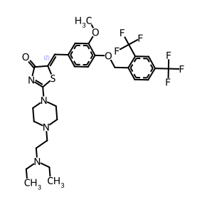 CCN(CC)CCN1CCN(C2=NC(=O)/C(=C/c3ccc(OCc4ccc(C(F)(F)F)cc4C(F)(F)F)c(OC)c3)S2)CC1